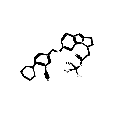 CC(C)(C)OC(=O)CC1CCc2cc3ccc(OCc4ccc(C5CCCCC5)c(C#N)c4)cc3n21